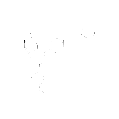 CC(C)(C)c1ccc(C(Sc2ccc(C(=O)O)cc2)C(=O)Nc2ccc(OCC3CCCCC3)cc2)cc1